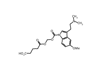 COc1ccc2c(c1)c(CCN(C)C)cn2C(=O)OCOC(=O)CCCC(=O)O